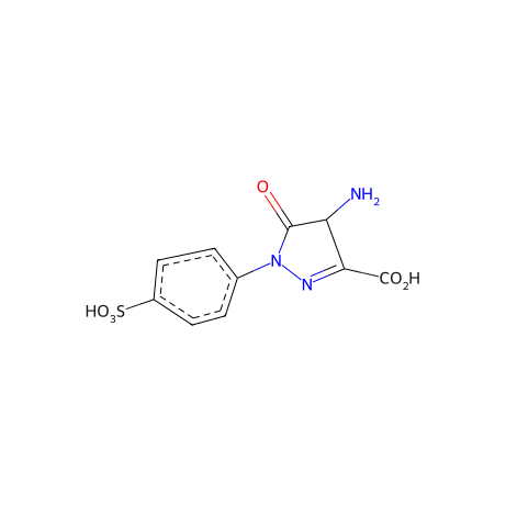 NC1C(=O)N(c2ccc(S(=O)(=O)O)cc2)N=C1C(=O)O